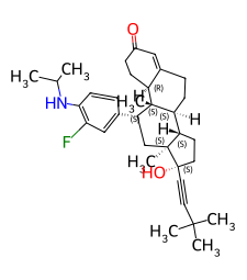 CC(C)Nc1ccc([C@H]2C[C@@]3(C)[C@@H](CC[C@@]3(O)C#CC(C)(C)C)[C@@H]3CCC4=CC(=O)CC[C@@H]4[C@@]23C)cc1F